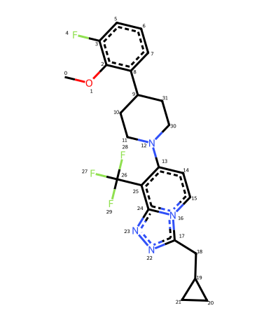 COc1c(F)cccc1C1CCN(c2ccn3c(CC4CC4)nnc3c2C(F)(F)F)CC1